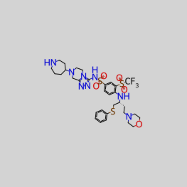 O=S(=O)(Nc1nnc2n1CCN(C1CCCNCC1)C2)c1ccc(N[C@H](CCN2CCOCC2)CSc2ccccc2)c(S(=O)(=O)C(F)(F)F)c1